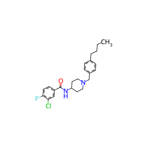 CCCCc1ccc(CN2CCC(NC(=O)c3ccc(F)c(Cl)c3)CC2)cc1